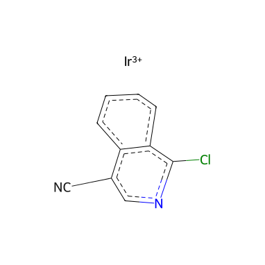 N#Cc1cnc(Cl)c2ccccc12.[Ir+3]